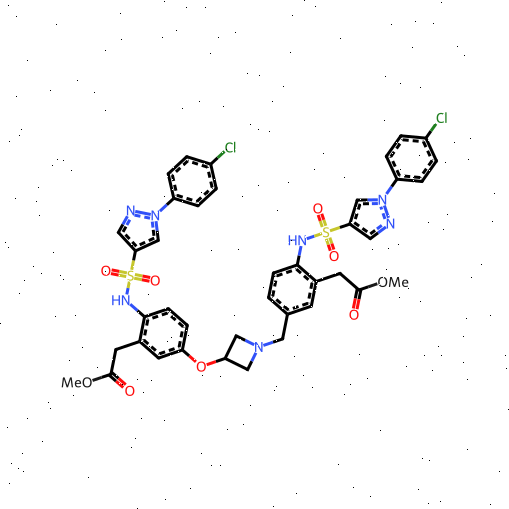 COC(=O)Cc1cc(CN2CC(Oc3ccc(NS(=O)(=O)c4cnn(-c5ccc(Cl)cc5)c4)c(CC(=O)OC)c3)C2)ccc1NS(=O)(=O)c1cnn(-c2ccc(Cl)cc2)c1